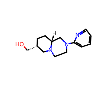 OC[C@@H]1CC[C@@H]2CN(c3ccccn3)CCN2C1